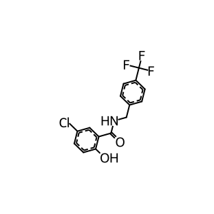 O=C(NCc1ccc(C(F)(F)F)cc1)c1cc(Cl)ccc1O